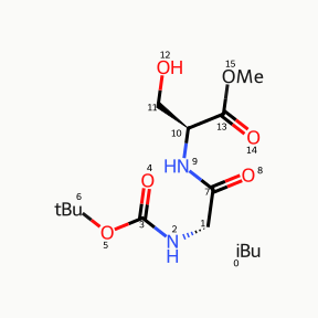 CC[C@H](C)[C@H](NC(=O)OC(C)(C)C)C(=O)N[C@@H](CO)C(=O)OC